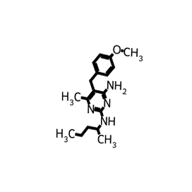 CCCC(C)Nc1nc(C)c(Cc2ccc(OC)cc2)c(N)n1